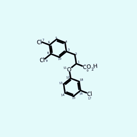 O=C(O)C(Cc1ccc(Cl)c(Cl)c1)Oc1cccc(Cl)c1